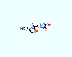 Cn1nc(O)c(=O)nc1SCC1C(=O)N2C(C(=O)O)=CCS(=O)(=O)[C@@H]12